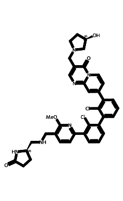 COc1nc(-c2cccc(-c3cccc(-c4ccn5c(=O)c(CN6CC[C@@H](O)C6)cnc5c4)c3Cl)c2Cl)ccc1CNC[C@H]1CCC(=O)N1